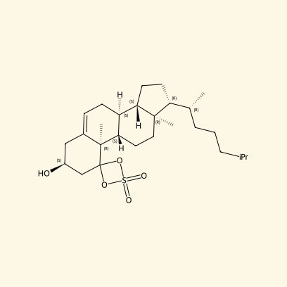 CC(C)CCC[C@@H](C)[C@H]1CC[C@H]2[C@@H]3CC=C4C[C@H](O)CC5(OS(=O)(=O)O5)[C@]4(C)[C@H]3CC[C@]12C